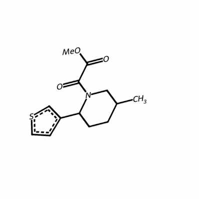 COC(=O)C(=O)N1CC(C)CCC1c1ccsc1